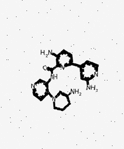 Nc1cc(-c2ccc(N)c(C(=O)Nc3cnccc3N3CCC[C@H](N)C3)n2)ccn1